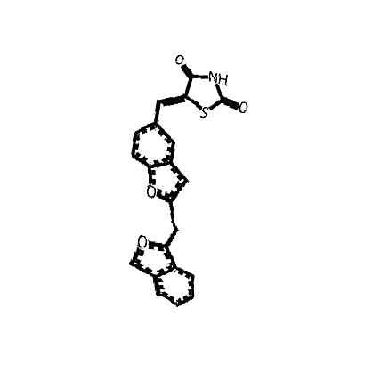 O=C1NC(=O)C(=Cc2ccc3oc(Cc4occ5ccccc45)cc3c2)S1